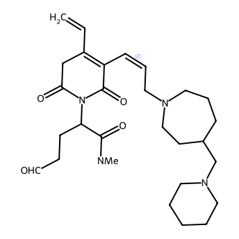 C=CC1=C(/C=C\CN2CCCC(CN3CCCCC3)CC2)C(=O)N(C(CCC=O)C(=O)NC)C(=O)C1